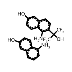 Nc1c(C(O)(C(F)(F)F)C(F)(F)F)ccc2cc(O)ccc12.Nc1cccc2cc(O)ccc12